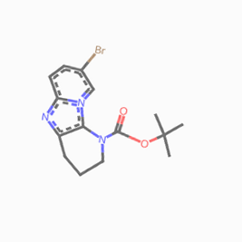 CC(C)(C)OC(=O)N1CCCc2nc3ccc(Br)cn3c21